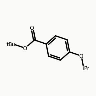 CC(C)Oc1ccc(C(=O)OC(C)(C)C)cc1